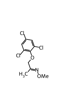 CON=C(C)COc1c(Cl)cc(Cl)cc1Cl